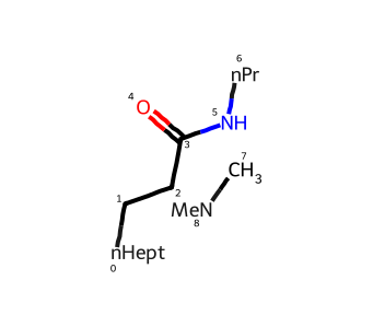 CCCCCCCCCC(=O)NCCC.CNC